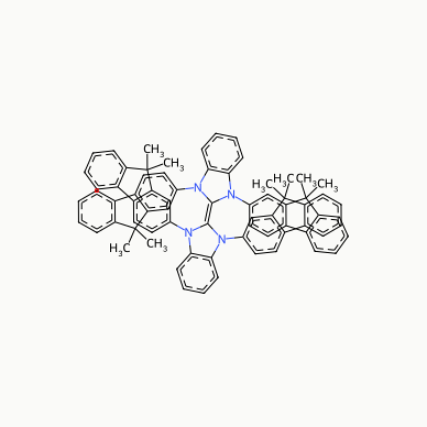 CC1(C)c2ccccc2-c2ccc(N3C(=C4N(c5ccc6c(c5)C(C)(C)c5ccccc5-6)c5ccccc5N4c4ccc5c(c4)C(C)(C)c4ccccc4-5)N(c4ccc5c(c4)C(C)(C)c4ccccc4-5)c4ccccc43)cc21